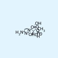 CO[C@]1(CO)OC(n2ccc(N)nc2=O)C(F)C1O[PH](=O)O